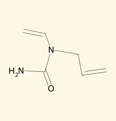 C=CCN(C=C)C(N)=O